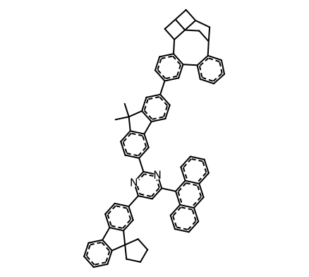 CC1(C)c2ccc(-c3nc(-c4ccc5c(c4)C4(CCCC4)c4ccccc4-5)cc(-c4c5ccccc5cc5ccccc45)n3)cc2-c2ccc(-c3ccc4c(c3)-c3ccccc3C3CC5CC6CC4C56C3)cc21